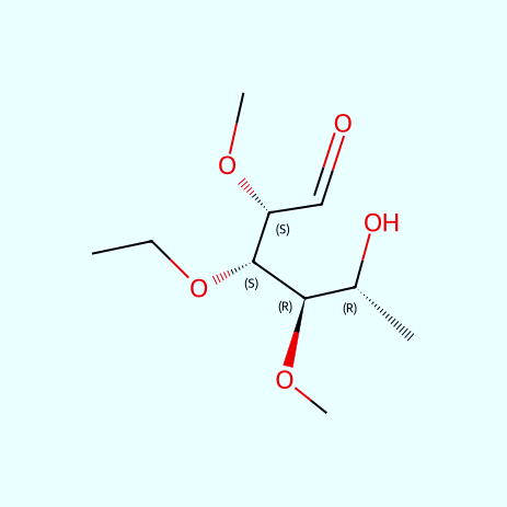 CCO[C@@H]([C@H](OC)[C@@H](C)O)[C@@H](C=O)OC